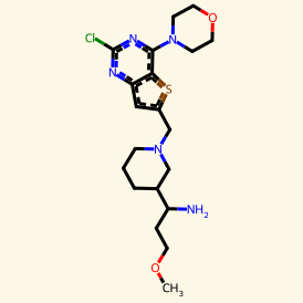 COCCC(N)C1CCCN(Cc2cc3nc(Cl)nc(N4CCOCC4)c3s2)C1